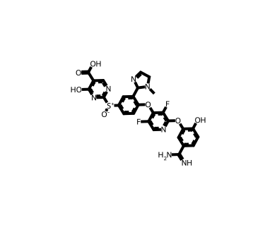 CN1CC=NC1c1cc([S+]([O-])c2ncc(C(=O)O)c(O)n2)ccc1Oc1c(F)cnc(Oc2cc(C(=N)N)ccc2O)c1F